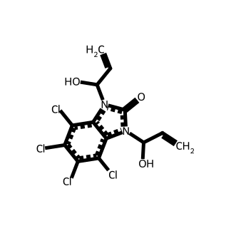 C=CC(O)n1c(=O)n(C(O)C=C)c2c(Cl)c(Cl)c(Cl)c(Cl)c21